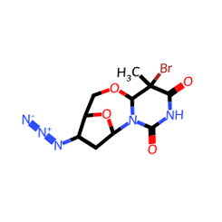 CC1(Br)C(=O)NC(=O)N2C3CC(N=[N+]=[N-])C(COC21)O3